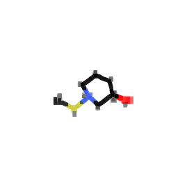 CCSN1C[CH]C[C@@H](O)C1